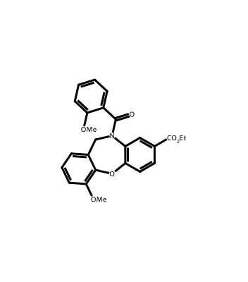 CCOC(=O)c1ccc2c(c1)N(C(=O)c1ccccc1OC)Cc1cccc(OC)c1O2